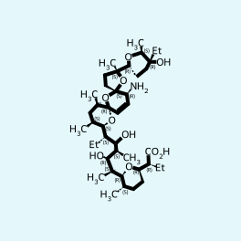 CC[C@@H](C(=O)O)[C@H]1CC[C@H](C)[C@H]([C@@H](C)[C@H](O)[C@H](C)C(O)[C@H](CC)[C@H]2O[C@]3(C=C[C@@H](N)[C@]4(CC[C@@](C)([C@H]5CC[C@](O)(CC)[C@H](C)O5)O4)O3)[C@H](C)C[C@@H]2C)O1